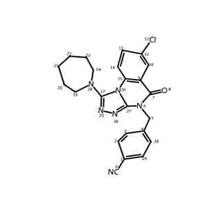 N#Cc1ccc(Cn2c(=O)c3cc(Cl)ccc3n3c(N4CCCCCC4)nnc23)cc1